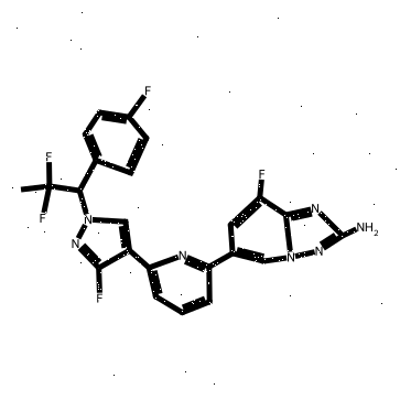 CC(F)(F)C(c1ccc(F)cc1)n1cc(-c2cccc(-c3cc(F)c4nc(N)nn4c3)n2)c(F)n1